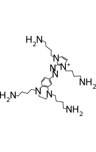 NCCCCN1CCN(CCCCN)c2cc(/N=N/c3n(CCCCN)cc[n+]3CCCCN)ccc21